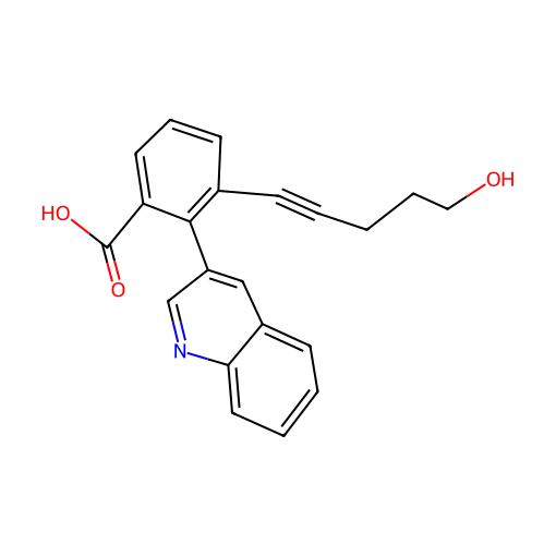 O=C(O)c1cccc(C#CCCCO)c1-c1cnc2ccccc2c1